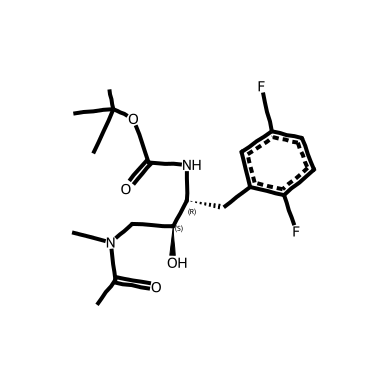 CC(=O)N(C)C[C@H](O)[C@@H](Cc1cc(F)ccc1F)NC(=O)OC(C)(C)C